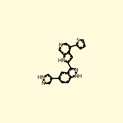 c1csc(-c2cncc3[nH]c(-c4n[nH]c5ccc(-c6cn[nH]c6)cc45)cc23)c1